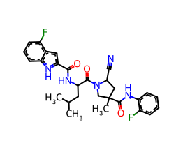 CC(C)CC(NC(=O)c1cc2c(F)cccc2[nH]1)C(=O)N1CC(C)(C(=O)Nc2ccccc2F)CC1C#N